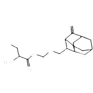 CCC(C)C(=O)OCOCC1C2CC3CC(C2)C(=O)C1C3